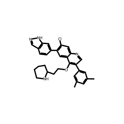 Cc1cc(C)cc(-c2cnc3cc(Cl)c(-c4ccc5cn[nH]c5c4)cc3c2OCCC2CCCCN2)c1